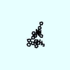 CC1(C)c2ccccc2-c2cc3c(cc21)-c1c(-c2ccc4oc5c(-c6nc(-c7ccccc7)nc(-c7ccc(-c8ccccc8)cc7)n6)cccc5c4c2)cccc1C31CCCCC1